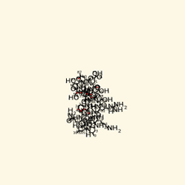 CC(C)C[C@H](NC(=O)[C@H](CCCCN)NC(=O)[C@H](Cc1c[nH]c2ccccc12)NC(=O)[C@H](CCCNC(=N)N)NC(=O)[C@@H](NC(=O)[C@H](CC(N)=O)NC(=O)[C@H](CC(C)C)NC(=O)[C@H](CC(=O)O)NC(=O)[C@H](CCC(=O)O)NC(=O)[C@H](CC(C)C)NC(=O)[C@@H](NC(=O)[C@@H](N)CO)[C@@H](C)O)[C@@H](C)O)C(=O)N[C@@H](CC(C)C)C(=O)N[C@@H](CCC(N)=O)C(=O)N[C@H](C(=O)O)C(C)C